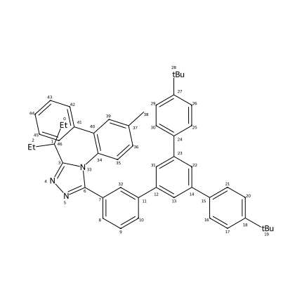 CCC(CC)c1nnc(-c2cccc(-c3cc(-c4ccc(C(C)(C)C)cc4)cc(-c4ccc(C(C)(C)C)cc4)c3)c2)n1-c1ccc(C)cc1-c1ccccc1